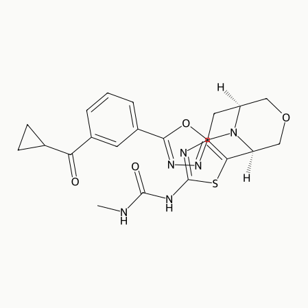 CNC(=O)Nc1nc2c(s1)[C@@H]1COC[C@H](C2)N1c1nnc(-c2cccc(C(=O)C3CC3)c2)o1